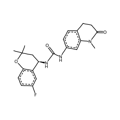 CN1C(=O)CCc2ccc(NC(=O)N[C@@H]3CC(C)(C)Oc4ccc(F)cc43)cc21